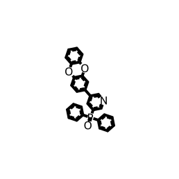 O=P(c1ccccc1)(c1ccccc1)c1cncc(-c2ccc3c(c2)Oc2ccccc2O3)c1